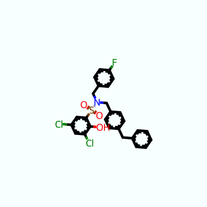 O=S(=O)(c1cc(Cl)cc(Cl)c1O)N(Cc1ccc(F)cc1)Cc1ccc(Cc2ccccc2)cc1